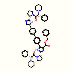 O=C(OCc1ccccc1)c1nc([C@@H]2CCCN2C(=O)[C@@H](c2ccccc2)N2CCCCC2)[nH]c1-c1ccc(-c2ccc(-c3cnc([C@@H]4CCCN4C(=O)[C@@H](c4ccccc4)N4CCCCC4)[nH]3)cc2)cc1